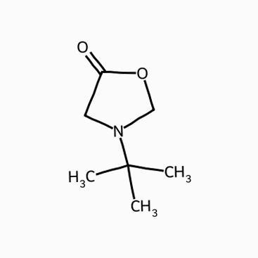 CC(C)(C)N1COC(=O)C1